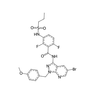 CCCS(=O)(=O)Nc1ccc(F)c(C(=O)Nc2nn(Cc3ccc(OC)cc3)c3ncc(Br)cc23)c1F